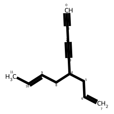 C#CC#CC(CC=C)CC=CC